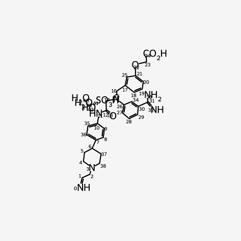 N=CCN1CCC(c2ccc(NC(=O)CN(Cc3cccc(OCC(=O)O)c3)c3cccc(C(=N)N)c3)cc2)CC1.O.O.O=S(=O)(O)O